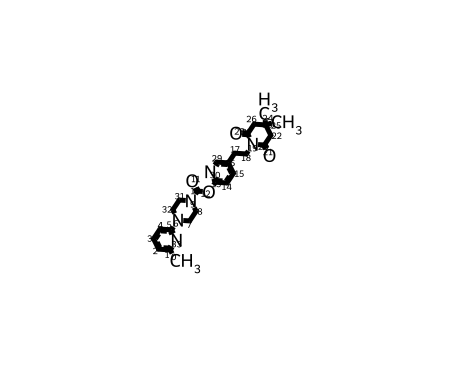 Cc1cccc(N2CCN(C(=O)Oc3ccc(CCN4C(=O)CC(C)(C)CC4=O)cn3)CC2)n1